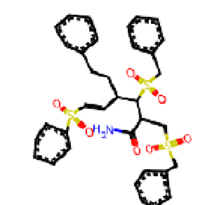 NC(=O)C(CS(=O)(=O)Cc1ccccc1)C(C(C=CS(=O)(=O)c1ccccc1)CCc1ccccc1)S(=O)(=O)Cc1ccccc1